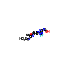 Cc1c(Nc2nc(C(F)F)nc3cc(CN4CC[C@@H](O)C4)cnc23)cccc1-c1cccc(-c2nc3cc(CN4CC[C@@H](C(=O)O)C4)cc(C#N)c3o2)c1C